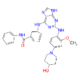 COc1cc(N2CCC(O)CC2)ccc1Nc1nc(Nc2cccc(C(=O)Nc3ccccc3)c2)c2nc[nH]c2n1